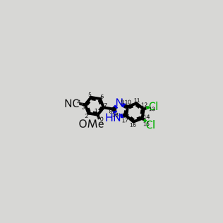 COc1cc(C#N)ccc1-c1nc2cc(Cl)c(Cl)cc2[nH]1